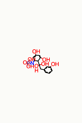 O=P(O)(O)N=C1C=C(O)C=C(O)C1C(O)(O)Cc1cccc(O)c1